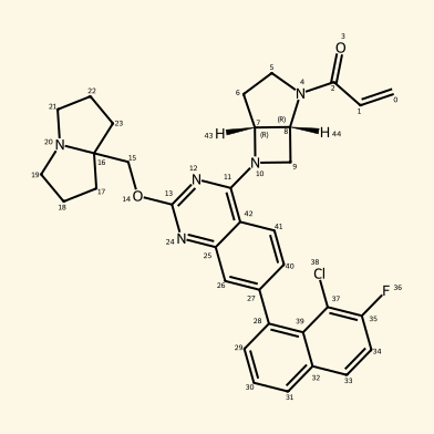 C=CC(=O)N1CC[C@@H]2[C@H]1CN2c1nc(OCC23CCCN2CCC3)nc2cc(-c3cccc4ccc(F)c(Cl)c34)ccc12